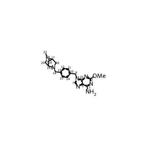 COc1nc(N)c2ncn(Cc3ccc(CN4CC5CC4CN5C)cc3)c2n1